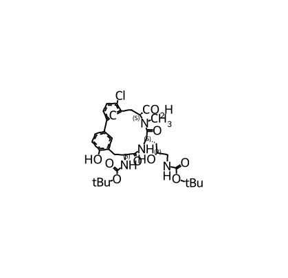 CN1C(=O)[C@H](C[C@@H](O)CNC(=O)OC(C)(C)C)NC(=O)[C@@H](NC(=O)OC(C)(C)C)Cc2cc(ccc2O)-c2ccc(Cl)c(c2)C[C@H]1C(=O)O